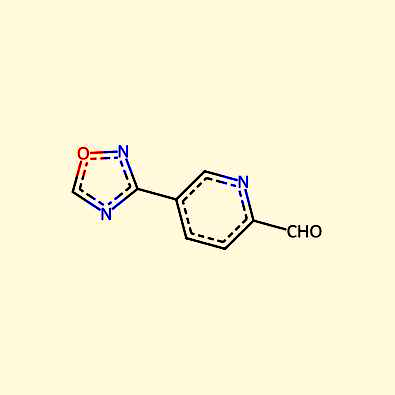 O=Cc1ccc(-c2ncon2)cn1